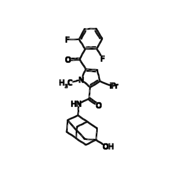 CC(C)c1cc(C(=O)c2c(F)cccc2F)n(C)c1C(=O)NC1C2CC3CC1CC(O)(C3)C2